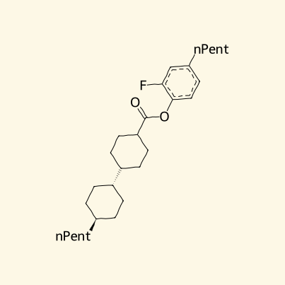 CCCCCc1ccc(OC(=O)C2CCC([C@H]3CC[C@H](CCCCC)CC3)CC2)c(F)c1